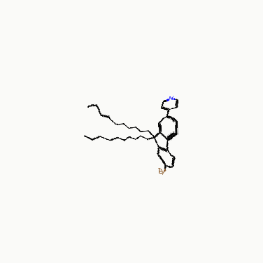 CCCCCCCCCCC1(CCCCCCCCCC)c2cc(Br)ccc2-c2ccc(-c3ccncc3)cc21